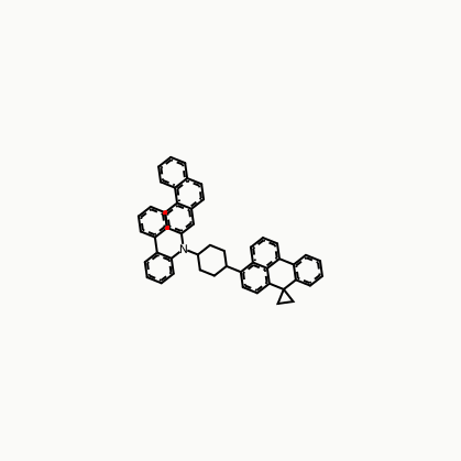 c1ccc(-c2ccccc2N(c2ccc3c(ccc4ccccc43)c2)C2CCC(c3ccc4c5c(cccc35)-c3ccccc3C43CC3)CC2)cc1